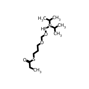 CCC(=O)SCCCOCOPN(C(C)C)C(C)C